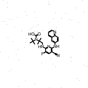 CC(C)(C)N(C(=O)O)C(C)(C)CNc1nc(Nc2ccc3ncccc3c2)c(C#N)cc1F